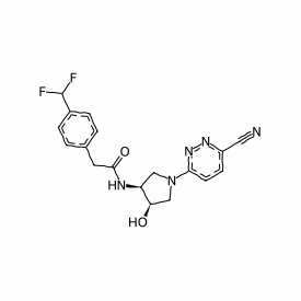 N#Cc1ccc(N2C[C@@H](O)[C@@H](NC(=O)Cc3ccc(C(F)F)cc3)C2)nn1